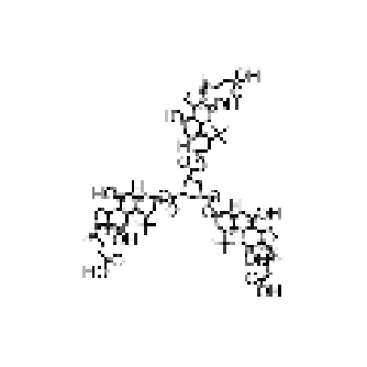 C[C@H](CCC(=O)O)[C@H]1CCC2C3C(C[C@H](O)[C@@]21C)[C@@]1(C)C(C(C)(C)C)C[C@@H](OC(=O)C2CC(C(=O)O[C@@H]4CC(C(C)(C)C)[C@]5(C)C6C[C@H](O)[C@@]7(C)C(CC[C@@H]7[C@H](C)CCC(=O)O)C6[C@H](O)C[C@@H]5C4)CC(C(=O)O[C@@H]4CC(C(C)(C)C)[C@]5(C)C6C[C@H](O)[C@@]7(C)C(CC[C@@H]7[C@H](C)CCC(=O)O)C6[C@H](O)C[C@@H]5C4)C2)C[C@H]1C[C@H]3O